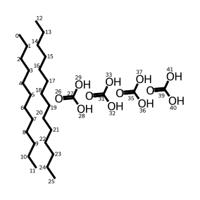 CCCCCCCCCCCC.CCCCCCCCCCCCCC.O=C(O)O.O=C(O)O.O=C(O)O.O=C(O)O